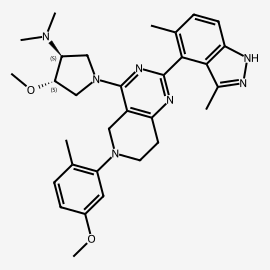 COc1ccc(C)c(N2CCc3nc(-c4c(C)ccc5[nH]nc(C)c45)nc(N4C[C@H](OC)[C@@H](N(C)C)C4)c3C2)c1